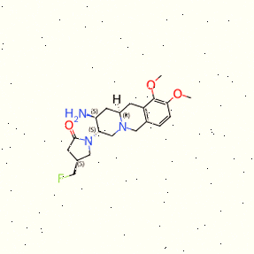 COc1ccc2c(c1OC)C[C@@H]1C[C@H](N)[C@@H](N3C[C@@H](CF)CC3=O)CN1C2